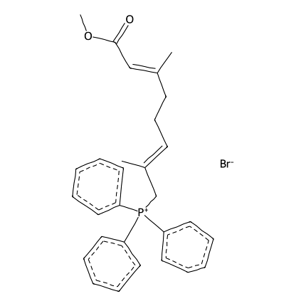 COC(=O)C=C(C)CCC=C(C)C[P+](c1ccccc1)(c1ccccc1)c1ccccc1.[Br-]